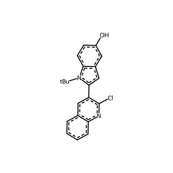 CC(C)(C)n1c(-c2cc3ccccc3nc2Cl)cc2cc(O)ccc21